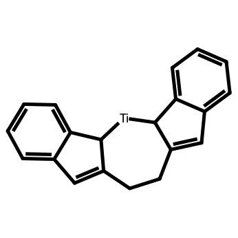 C1=C2CCC3=Cc4ccccc4[CH]3[Ti][CH]2c2ccccc21